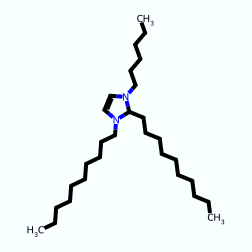 CCCCCCCCCCC1N(CCCCCC)C=CN1CCCCCCCCCC